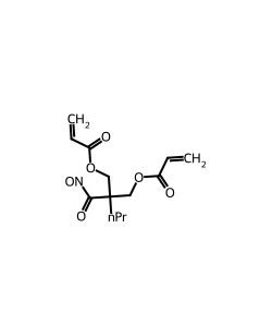 C=CC(=O)OCC(CCC)(COC(=O)C=C)C(=O)N=O